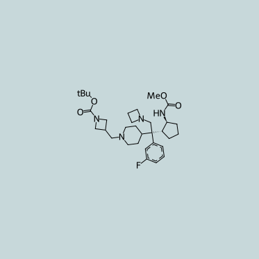 COC(=O)N[C@H]1CCC[C@@H]1C(CN1CCC1)(c1cccc(F)c1)C1CCN(CC2CN(C(=O)OC(C)(C)C)C2)CC1